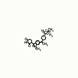 CN(c1ccc2c(C3CCC(=O)NC3=O)nn(C)c2c1)C1CCN(C(=O)OC(C)(C)C)CC1